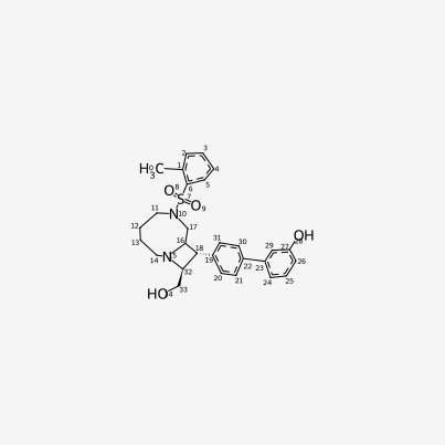 Cc1ccccc1S(=O)(=O)N1CCCCN2C(C1)[C@H](c1ccc(-c3cccc(O)c3)cc1)[C@H]2CO